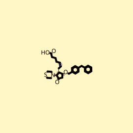 O=C(O)CCC/C=C\C[C@H]1[C@H](N2CCSCC2)C(=O)C[C@H]1OCc1ccc(Cc2ccccc2)cc1